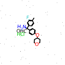 Cc1ccc(C(N)(C=O)c2ccc(OC3CCOCC3)cc2)cc1F.Cl